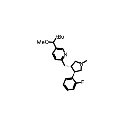 COC(c1ccc(C[C@@H]2CN(C)C[C@H]2c2ccccc2F)nc1)C(C)(C)C